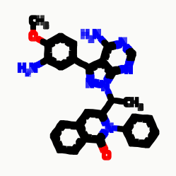 COc1ccc(-c2nn(C(C)c3cc4ccccc4c(=O)n3-c3ccccc3)c3ncnc(N)c23)cc1N